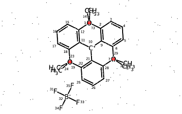 COc1cccc(OC)c1[C+](c1c(OC)cccc1OC)c1c(OC)cccc1OC.F[B-](F)(F)F